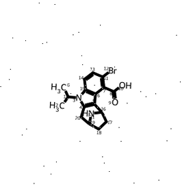 CC(C)n1c2c(c3c(C(=O)O)c(Br)ccc31)C1CCC(C2)N1